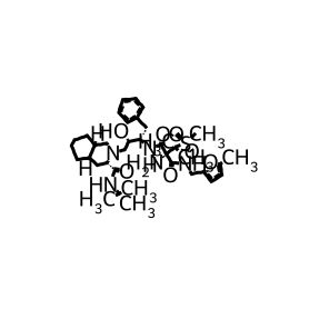 Cc1ccc(CNC(=O)[C@@](N)(C(=O)N[C@@H](Cc2ccccc2)[C@H](O)CN2C[C@H]3CCCC[C@H]3C[C@H]2C(=O)NC(C)(C)C)C(C)(C)S(C)(=O)=O)o1